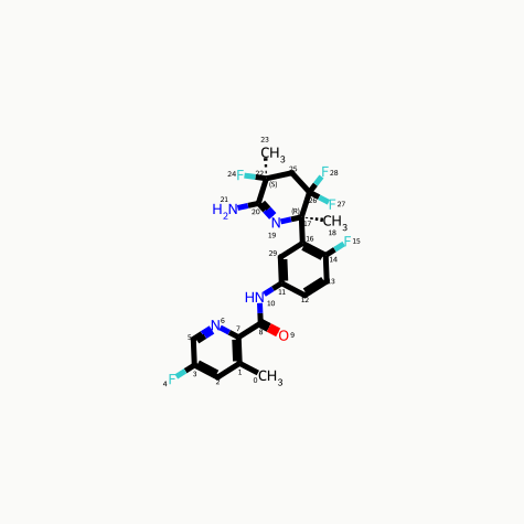 Cc1cc(F)cnc1C(=O)Nc1ccc(F)c([C@@]2(C)N=C(N)[C@@](C)(F)CC2(F)F)c1